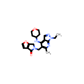 CCn1ncc2c(NC3CCOCC3)c(CN3Cc4occc4C3=O)c(C)nc21